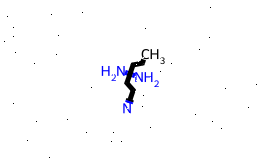 CCCC(N)(N)CCC#N